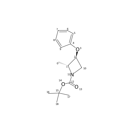 C[C@@H]1[C@@H](Oc2ccccc2)CN1C(=O)OC(C)(C)C